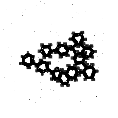 c1ccc(-c2ccc(-c3nc4ccc5cc(-c6ccccc6-c6ccc(N(c7ccc(-c8ccccc8)cc7)c7ccccc7-c7ccccc7)cc6)ccc5c4o3)cc2)cc1